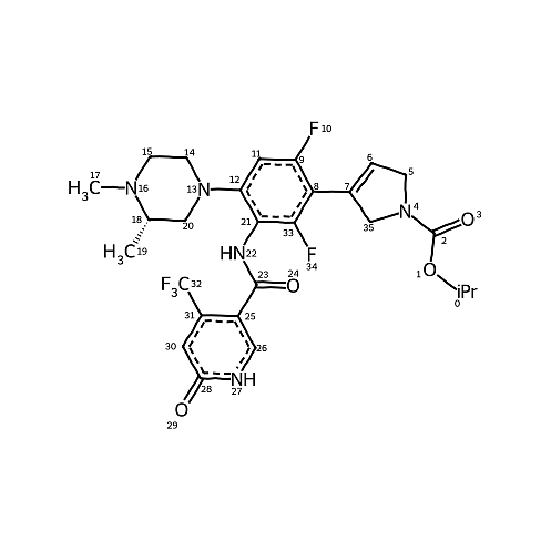 CC(C)OC(=O)N1CC=C(c2c(F)cc(N3CCN(C)[C@@H](C)C3)c(NC(=O)c3c[nH]c(=O)cc3C(F)(F)F)c2F)C1